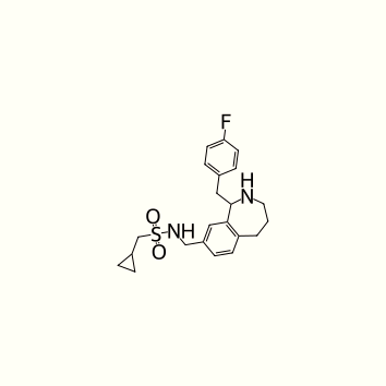 O=S(=O)(CC1CC1)NCc1ccc2c(c1)C(Cc1ccc(F)cc1)NCCC2